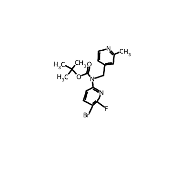 Cc1cc(CN(C(=O)OC(C)(C)C)c2ccc(Br)c(F)n2)ccn1